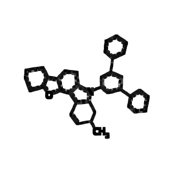 CC1C=Cc2c(n(-c3cc(-c4ccccc4)cc(-c4ccccc4)c3)c3ccc4c5ccccc5oc4c23)C1